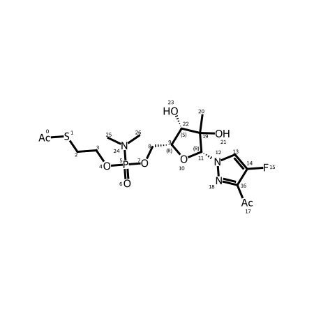 CC(=O)SCCOP(=O)(OC[C@H]1O[C@@H](n2cc(F)c(C(C)=O)n2)C(C)(O)[C@H]1O)N(C)C